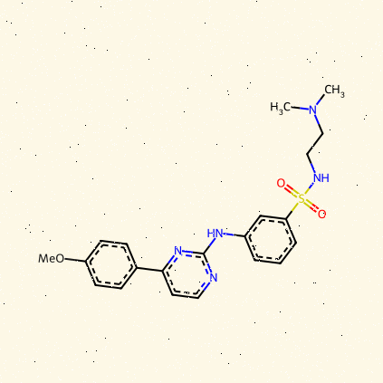 COc1ccc(-c2ccnc(Nc3cccc(S(=O)(=O)NCCN(C)C)c3)n2)cc1